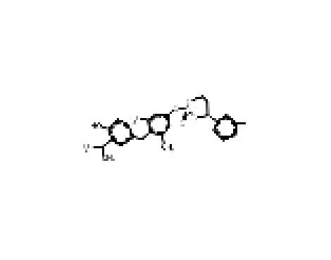 Cc1cc(OP2(=O)OCC[C@@H](c3cccc(Cl)c3)O2)cc(C)c1Cc1ccc(O)c(C(C)C)c1